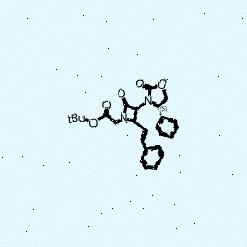 CC(C)(C)OC(=O)CN1C(=O)C(N2C(=O)OC[C@@H]2c2ccccc2)C1C=Cc1ccccc1